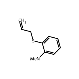 C=CCSc1ccccc1NC